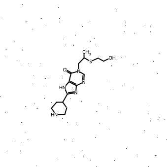 CC(Cn1cnc2nc(C3CCNCC3)[nH]c2c1=O)SCCO